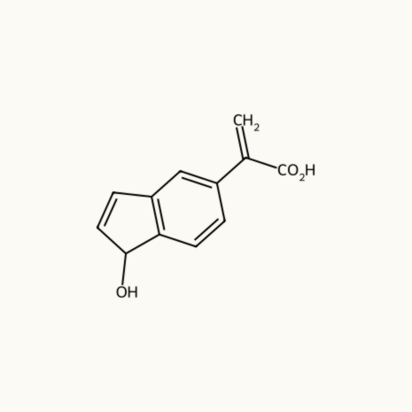 C=C(C(=O)O)c1ccc2c(c1)C=CC2O